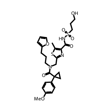 COc1ccc(C2(C(=O)N(CCCc3ccco3)Cc3nc(C(=O)NS(=O)(=O)CCCO)c(C)s3)CC2)cc1